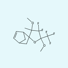 COC1(C)C2(CC3C=CC2C3)OC(OC)(C(F)(F)F)C1(F)F